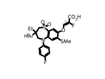 CCCCC1(CC)CN(c2ccc(F)cc2)c2cc(SC)c(O/C=C(\F)C(=O)O)cc2S(=O)(=O)C1